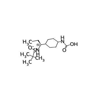 CC[C@H](N[S+]([O-])C(C)(C)C)C1CCC(NC(=O)O)CC1